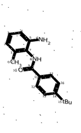 Cc1cccc(N)c1NC(=O)c1ccc(C(C)(C)C)cc1